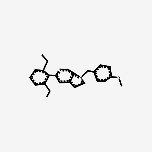 CCc1cccc(CC)c1-c1cc2ccn(Cc3ccc(OC)cc3)c2cn1